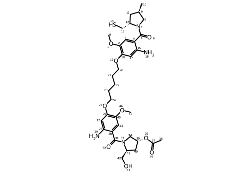 COc1cc(C(=O)N2C[C@H](C)C[C@H]2CS)c(N)cc1OCCCCCOc1cc(N)c(C(=O)N2C[C@H](OC(C)=O)C[C@H]2CO)cc1OC